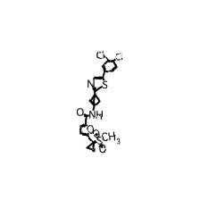 CS(=O)(=O)C1(c2ccc(C(=O)NC34CC(c5ncc(-c6ccc(Cl)c(Cl)c6)s5)(C3)C4)o2)CC1